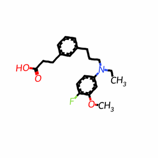 CCN(CCCc1cccc(CCC(=O)O)c1)c1ccc(F)c(OC)c1